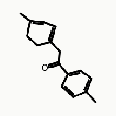 CC1=CC=C(CC(=O)c2ccc(C)cc2)CC1